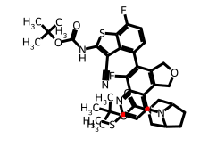 CSc1cc(N2C3CCC2CN(C(=O)OC(C)(C)C)C3)c2c3c(c(-c4ccc(F)c5sc(NC(=O)OC(C)(C)C)c(C#N)c45)c(F)c2n1)COC3